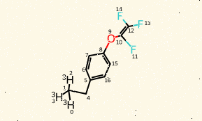 [3H]C([3H])([3H])Cc1ccc(OC(F)=C(F)F)cc1